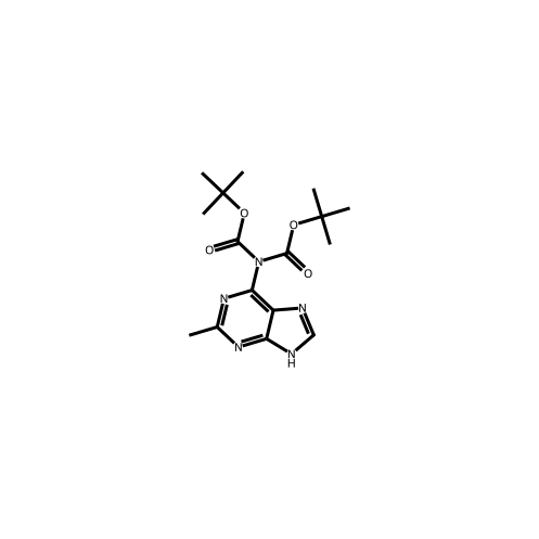 Cc1nc(N(C(=O)OC(C)(C)C)C(=O)OC(C)(C)C)c2nc[nH]c2n1